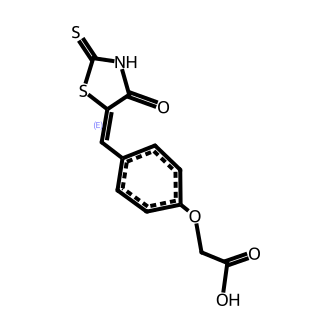 O=C(O)COc1ccc(/C=C2/SC(=S)NC2=O)cc1